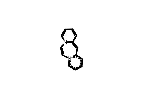 C1=CC2=Cc3cccc[n+]3C=CN2C=C1